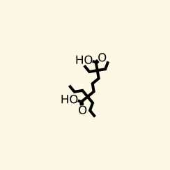 CCCC(CCC)(CCCC(CC)(CC)C(=O)O)C(=O)O